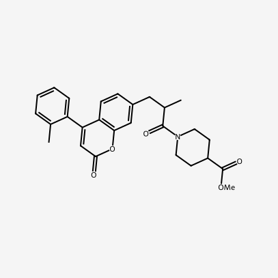 COC(=O)C1CCN(C(=O)C(C)Cc2ccc3c(-c4ccccc4C)cc(=O)oc3c2)CC1